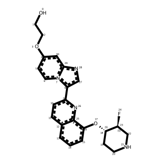 OCCOc1ccn2c(-c3ccc4cccc(O[C@H]5CCNC[C@@H]5F)c4n3)cnc2c1